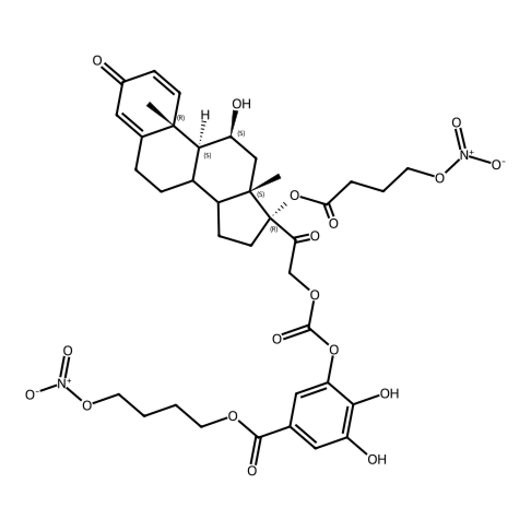 C[C@]12C=CC(=O)C=C1CCC1C3CC[C@](OC(=O)CCCO[N+](=O)[O-])(C(=O)COC(=O)Oc4cc(C(=O)OCCCCO[N+](=O)[O-])cc(O)c4O)[C@@]3(C)C[C@H](O)[C@@H]12